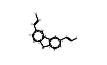 CC=Cc1ccc2c(c1)-c1cc(C=CC)ccc1C2